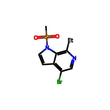 CCc1ncc(Br)c2ccn(S(C)(=O)=O)c12